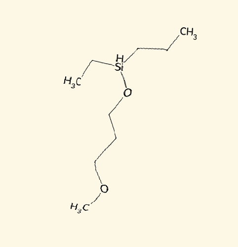 CCC[SiH](CC)OCCCOC